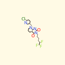 O=c1nc2n(Cc3ccc(Cl)nc3)cccc-2c(=O)n1CCCCC(F)=C(F)F